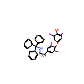 O=C(O)C(Cc1cc(I)c(Oc2cc(I)c(O)c(I)c2)c(I)c1)NC(c1ccccc1)(c1ccccc1)c1ccccc1